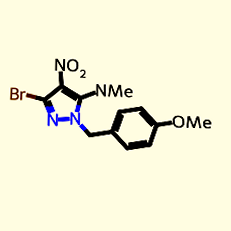 CNc1c([N+](=O)[O-])c(Br)nn1Cc1ccc(OC)cc1